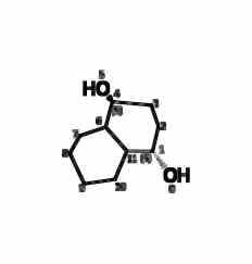 O[C@H]1CC[C@H](O)C2CCCCC21